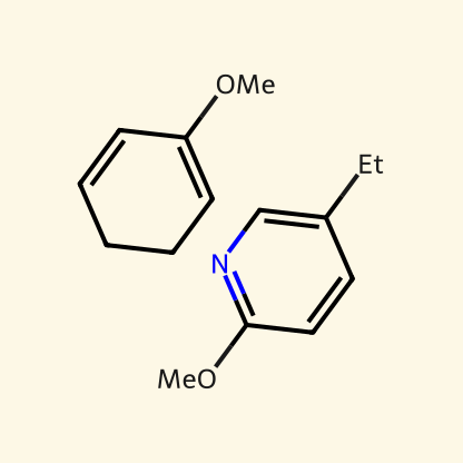 CCc1ccc(OC)nc1.COC1=CCCC=C1